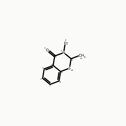 CCN1C(=O)c2ccccc2SC1C